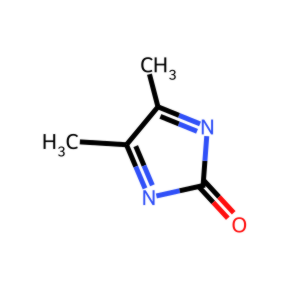 CC1=NC(=O)N=C1C